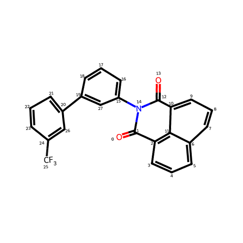 O=C1c2cccc3cccc(c23)C(=O)N1c1cccc(-c2cccc(C(F)(F)F)c2)c1